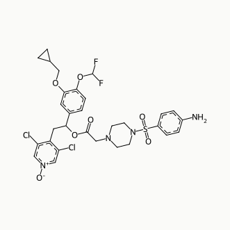 Nc1ccc(S(=O)(=O)N2CCN(CC(=O)OC(Cc3c(Cl)c[n+]([O-])cc3Cl)c3ccc(OC(F)F)c(OCC4CC4)c3)CC2)cc1